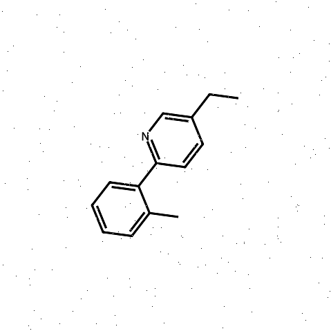 CCc1ccc(-c2ccccc2C)nc1